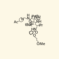 COCCCCOc1ccccc1C(=O)NCC(CC(NC(=O)OC(C)(C)C)C(CC(C(=O)NCCN1CCC(C(C)=O)CC1)C(C)C)O[Si](C)(C)C(C)(C)C)C(C)C